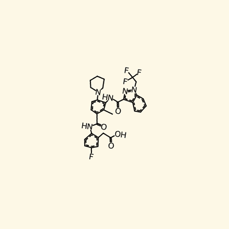 Cc1c(C(=O)Nc2ccc(F)cc2CC(=O)O)ccc(N2CCCCC2)c1NC(=O)c1nn(CC(F)(F)F)c2ccccc12